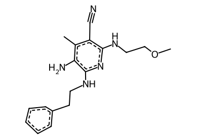 COCCNc1nc(NCCc2ccccc2)c(N)c(C)c1C#N